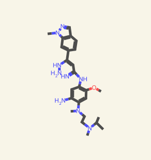 COc1cc(N(C)CCN(C)C(C)C)c(N)cc1NC(=N)/C=C(\NN)c1ccc2cnn(C)c2c1